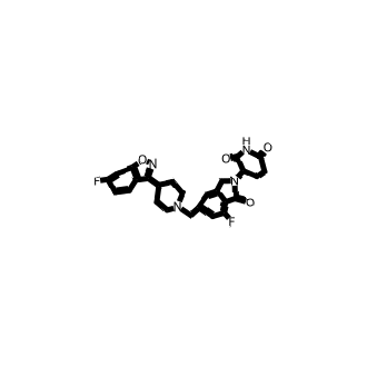 O=C1CCC(N2Cc3cc(CN4CCC(c5noc6cc(F)ccc56)CC4)cc(F)c3C2=O)C(=O)N1